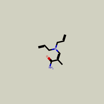 C=CCN(C=C(C)C(N)=O)CC=C